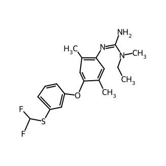 CCN(C)C(N)=Nc1cc(C)c(Oc2cccc(SC(F)F)c2)cc1C